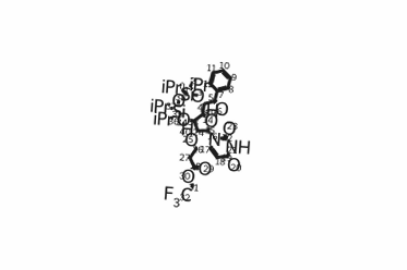 CC(C)[Si]1(C(C)C)OC(C(=O)c2ccccc2)[C@H]2O[C@@H](n3ccc(=O)[nH]c3=O)[C@H](OCCC(=O)OCC(F)(F)F)[C@@H]2O[Si](C(C)C)(C(C)C)O1